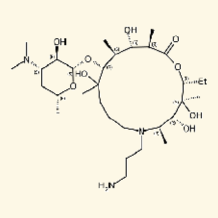 CC[C@H]1OC(=O)[C@H](C)[C@@H](O)[C@H](C)[C@@H](O[C@@H]2O[C@H](C)C[C@H](N(C)C)[C@H]2O)C(C)(O)CCCN(CCCN)[C@H](C)[C@@H](O)[C@]1(C)O